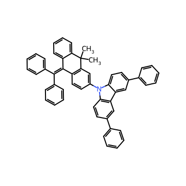 CC1(C)c2ccccc2C(=C(c2ccccc2)c2ccccc2)c2ccc(-n3c4ccc(-c5ccccc5)cc4c4cc(-c5ccccc5)ccc43)cc21